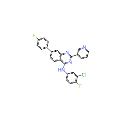 Fc1ccc(-c2ccc3c(Nc4ccc(F)c(Cl)c4)nc(-c4cccnc4)nc3c2)cc1